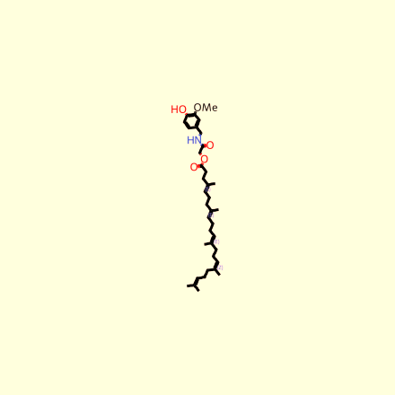 COc1cc(CNC(=O)COC(=O)CC/C(C)=C/CC/C(C)=C/CC/C=C(\C)CC/C=C(/C)CCC=C(C)C)ccc1O